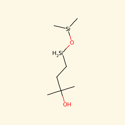 C[Si](C)O[SiH2]CCC(C)(C)O